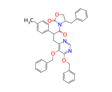 Cc1ccc(C(Cc2ncnc(OCc3ccccc3)c2OCc2ccccc2)C(=O)N2C(=O)OCC2Cc2ccccc2)cc1